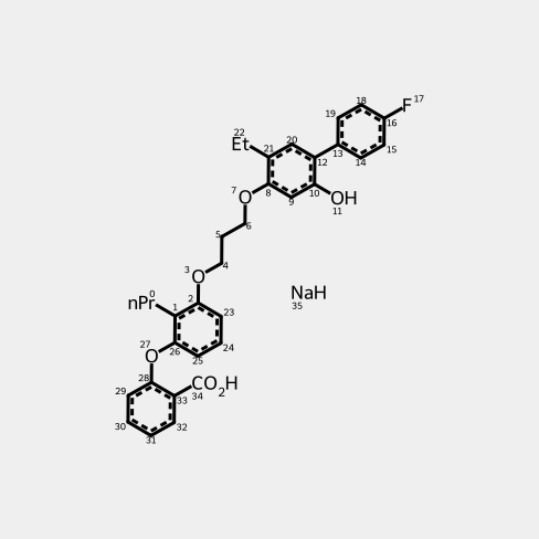 CCCc1c(OCCCOc2cc(O)c(-c3ccc(F)cc3)cc2CC)cccc1Oc1ccccc1C(=O)O.[NaH]